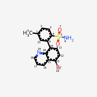 Cc1ccc(S(N)(=O)=O)c(-c2ccc(Br)c3cccnc23)c1